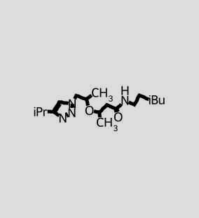 CCC(C)CCNC(=O)CC(C)OC(C)Cn1cc(C(C)C)nn1